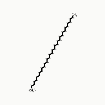 C.CCCCCCCCCCCCCCCCCCCCCCCCCCCCCCCCCC